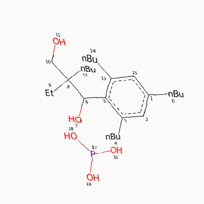 CCCCc1cc(CCCC)c(C(O)C(CC)(CO)CCCC)c(CCCC)c1.OP(O)O